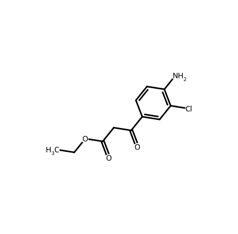 CCOC(=O)CC(=O)c1ccc(N)c(Cl)c1